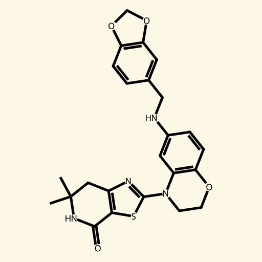 CC1(C)Cc2nc(N3CCOc4ccc(NCc5ccc6c(c5)OCO6)cc43)sc2C(=O)N1